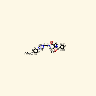 CCOC1CCN(CCCN2CCN(c3ccc(OC)cc3)CC2)C(=O)c2ccn(Cc3ccccc3)c21